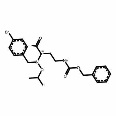 CC(=O)[C@@H](CCNC(=O)OCc1ccccc1)N(Cc1ccc(Br)cc1)OC(C)C